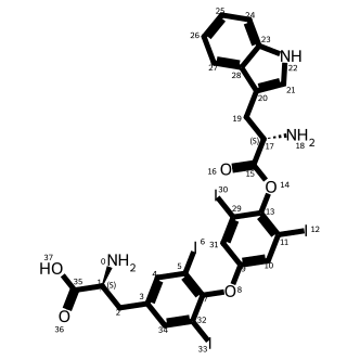 N[C@@H](Cc1cc(I)c(Oc2cc(I)c(OC(=O)[C@@H](N)Cc3c[nH]c4ccccc34)c(I)c2)c(I)c1)C(=O)O